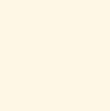 C=C(C)C(=O)OC1(C)CCCCC1C(=O)OC